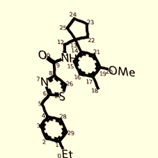 CCc1ccc(Cc2nc(C(=O)NCC3(c4ccc(C)c(OC)c4)CCCC3)cs2)cc1